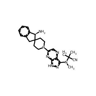 CN(c1n[nH]c2nc(N3CCC4(CC3)Cc3ccccc3[C@H]4N)cnc12)C(C)(C)C#N